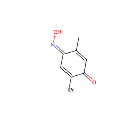 CC1=CC(=O)C(C(C)C)=C/C1=N/O